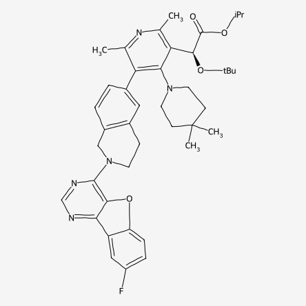 Cc1nc(C)c([C@H](OC(C)(C)C)C(=O)OC(C)C)c(N2CCC(C)(C)CC2)c1-c1ccc2c(c1)CCN(c1ncnc3c1oc1ccc(F)cc13)C2